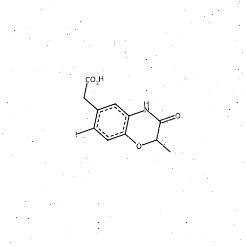 CC1Oc2cc(I)c(CC(=O)O)cc2NC1=O